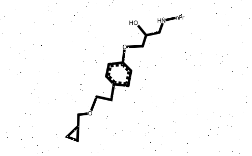 CCCNCC(O)COc1ccc(CCOCC2CC2)cc1